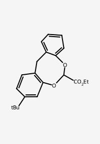 CCOC(=O)C1Oc2ccccc2Cc2ccc(C(C)(C)C)cc2O1